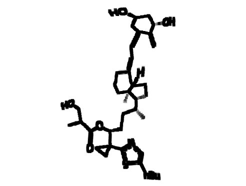 C=C1/C(=C\C=C2/CCC[C@]3(C)[C@@H]([C@H](C)CC[C@H](OC(=O)C(C)CO)C4(c5ncc(CCCC)s5)CC4)CC[C@@H]23)C[C@@H](O)C[C@@H]1O